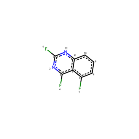 Fc1nc(F)c2c(F)cccc2n1